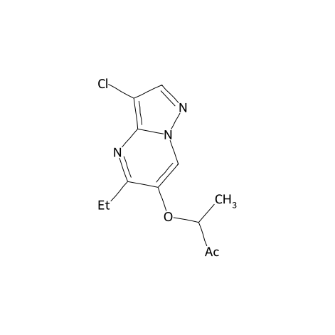 CCc1nc2c(Cl)cnn2cc1OC(C)C(C)=O